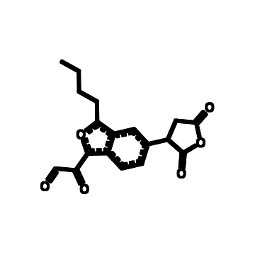 CCCCc1oc(C(=O)C=O)c2ccc(C3CC(=O)OC3=O)cc12